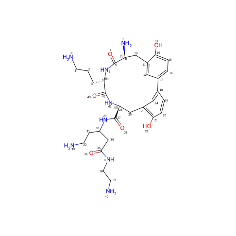 NCCC[C@@H]1NC(=O)[C@@H](N)Cc2cc(ccc2O)-c2ccc(O)c(c2)C[C@@H](C(=O)NC(CCN)CC(=O)NCCN)NC1=O